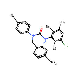 CCc1ccc(N(Cc2ccc([N+](=O)[O-])cc2)C(=O)Nc2c(CC)c(Cl)cc([N+](=O)[O-])c2CC)cc1